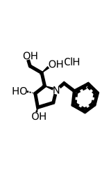 Cl.OC[C@@H](O)[C@@H]1[C@@H](O)[C@@H](O)CN1Cc1ccccc1